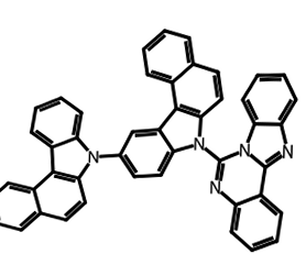 c1ccc2c(c1)ccc1c2c2ccccc2n1-c1ccc2c(c1)c1c3ccccc3ccc1n2-c1nc2ccccc2c2nc3ccccc3n12